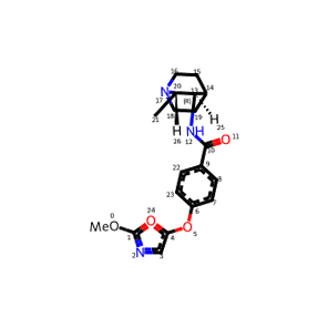 COc1ncc(Oc2ccc(C(=O)N[C@@H]3C4CCN(CC4)[C@H]3C)cc2)o1